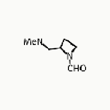 CNCC1CCN1C=O